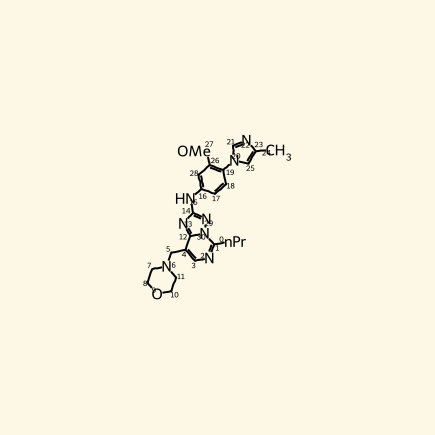 CCCc1ncc(CN2CCOCC2)c2nc(Nc3ccc(-n4cnc(C)c4)c(OC)c3)nn12